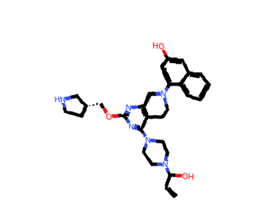 C=CC(O)N1CCN(c2nc(OC[C@@H]3CCNC3)nc3c2CCN(c2cc(O)cc4ccccc24)C3)CC1